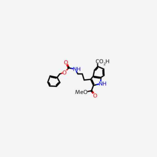 COC(=O)c1[nH]c2ccc(C(=O)O)cc2c1CCCNC(=O)OCc1ccccc1